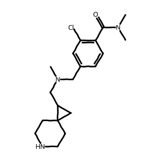 CN(Cc1ccc(C(=O)N(C)C)c(Cl)c1)CC1CC12CCNCC2